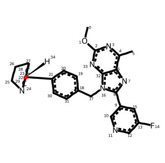 COc1nc(C)c2nc(-c3cncc(F)c3)n(Cc3ccc([C@H]4CN5CCC4CC5)cc3)c2n1